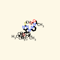 C=C(C)C[C@H]1N(c2cccc(N3C(=O)OC[C@@H]3C)n2)c2nc(SC)ncc2[C@@]1(C)CO[Si](C)(C)C(C)(C)C